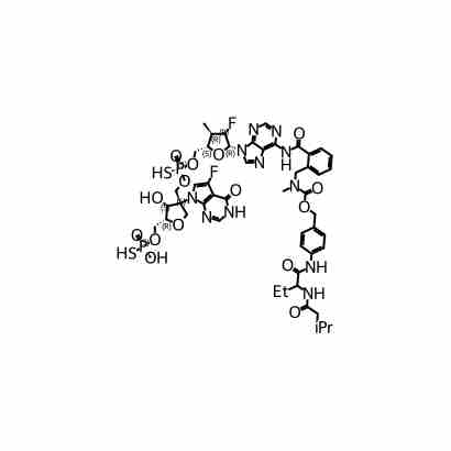 CCC(NC(=O)CC(C)C)C(=O)Nc1ccc(COC(=O)N(C)Cc2ccccc2C(=O)Nc2ncnc3c2ncn3[C@@H]2O[C@H](CO[P@@](=O)(S)OC[C@@]3(n4cc(F)c5c(=O)[nH]cnc54)CO[C@H](CO[P@](=O)(O)S)[C@H]3O)[C@@H](C)[C@H]2F)cc1